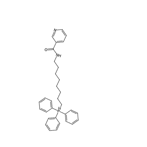 O=C(NCCCCCCCC[PH](c1ccccc1)(c1ccccc1)c1ccccc1)c1cccnc1